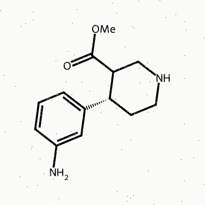 COC(=O)C1CNCC[C@@H]1c1cccc(N)c1